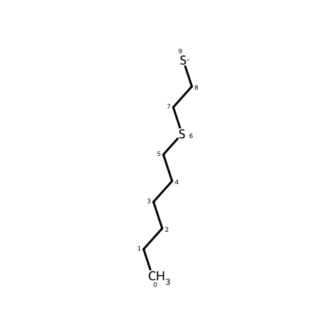 CCCCCCSCC[S]